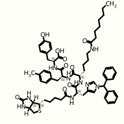 CCCCCCCC(=O)NCCCC[C@H](NC(=O)[C@H](Cc1cn(C(c2ccccc2)c2ccccc2)cn1)NC(=O)CCCC[C@@H]1SC[C@@H]2NC(=O)N[C@@H]21)C(=O)N[C@@H](Cc1ccc(C)cc1)C(=O)N[C@@H](Cc1ccc(O)cc1)C(=O)O